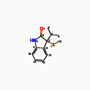 CSC1(C(C)C)C(=O)Nc2ccccc21